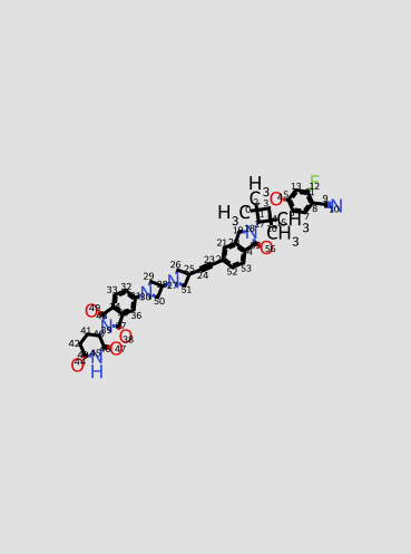 CC1(C)[C@H](Oc2ccc(C#N)c(F)c2)C(C)(C)[C@H]1N1Cc2cc(C#CC3CN(C4CN(c5ccc6c(c5)C(=O)N(C5CCC(=O)NC5=O)C6=O)C4)C3)ccc2C1=O